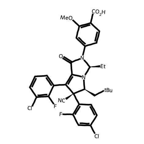 CC[C@@H]1N(c2ccc(C(=O)O)c(OC)c2)C(=O)C2=C(c3cccc(Cl)c3F)[C@@](C#N)(c3ccc(Cl)cc3F)[C@H](CC(C)(C)C)N21